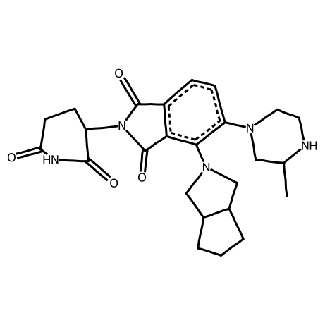 CC1CN(c2ccc3c(c2N2CC4CCCC4C2)C(=O)N(C2CCC(=O)NC2=O)C3=O)CCN1